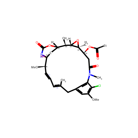 CCC(=O)O[C@H]1CC(=O)N(C)c2cc(cc(OC)c2Cl)C/C(C)=C/C=C/[C@@H](OC)[C@@]2(O)C[C@H](OC(=O)N2)[C@@H](C)[C@@H]2O[C@@]12C